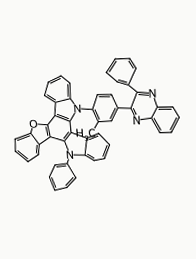 Cc1cc(-c2nc3ccccc3nc2-c2ccccc2)ccc1-n1c2ccccc2c2c3oc4ccccc4c3c3c(c4ccccc4n3-c3ccccc3)c21